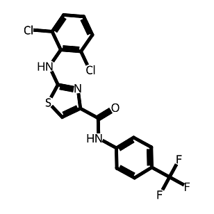 O=C(Nc1ccc(C(F)(F)F)cc1)c1csc(Nc2c(Cl)cccc2Cl)n1